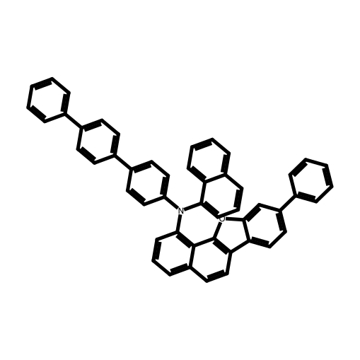 c1ccc(-c2ccc(-c3ccc(N(c4cccc5ccccc45)c4cccc5ccc6c7ccc(-c8ccccc8)cc7oc6c45)cc3)cc2)cc1